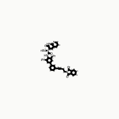 CCCCN(C(=O)Nc1c(C(C)C)cc(-c2cccc(C#CCCN3C(=O)c4ccccc4C3=O)c2)cc1C(C)C)c1cc2cccnc2[nH]c1=O